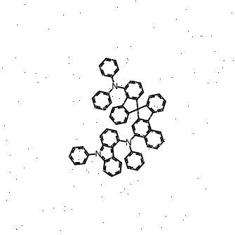 c1ccc(N(c2ccccc2)c2cccc3c2-c2ccccc2C32c3ccccc3-c3c2cc(N(c2ccccc2)c2cccc4c2c2ccccc2n4-c2ccccc2)c2ccccc32)cc1